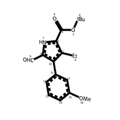 CCc1c(C(=O)OC(C)(C)C)[nH]c(C=O)c1-c1cccc(OC)c1